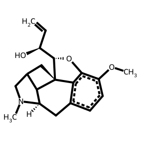 C=C[C@H](O)[C@@H]1Oc2c(OC)ccc3c2[C@@]12CC1CN(C)[C@H](C3)C12